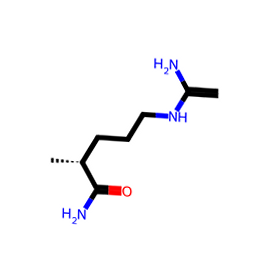 C=C(N)NCCC[C@@H](C)C(N)=O